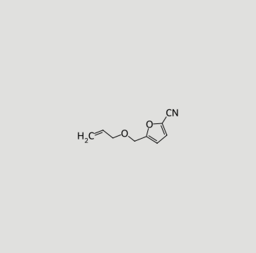 C=CCOCc1ccc(C#N)o1